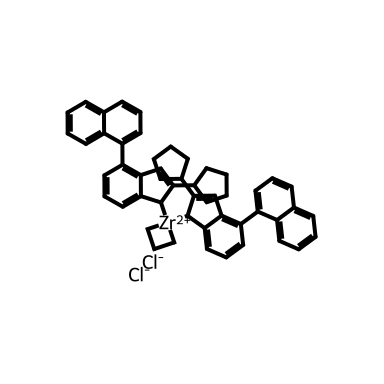 C1=C(C2CCCC2)[CH]([Zr+2]2([CH]3C(C4CCCC4)=Cc4c(-c5cccc6ccccc56)cccc43)[CH2]C[CH2]2)c2cccc(-c3cccc4ccccc34)c21.[Cl-].[Cl-]